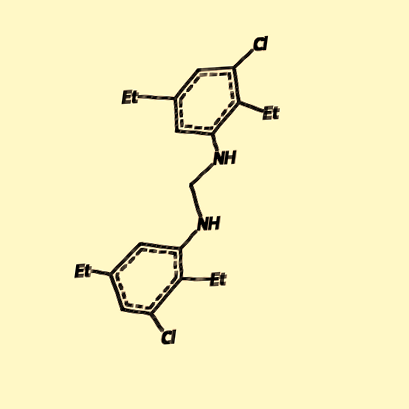 CCc1cc(Cl)c(CC)c(NCNc2cc(CC)cc(Cl)c2CC)c1